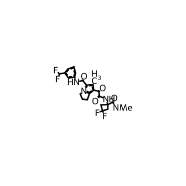 CNC(=O)C1(NC(=O)C(=O)c2c(C)c(C(=O)Nc3cccc(C(F)F)c3)n3c2CCC3)CC(F)(F)C1